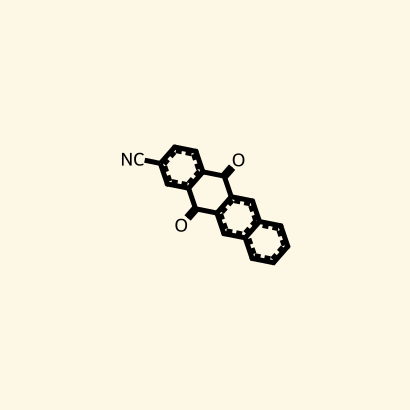 N#Cc1ccc2c(c1)C(=O)c1cc3ccccc3cc1C2=O